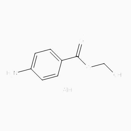 CCOC(=O)c1ccc(N)cc1.[AlH3]